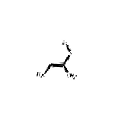 [CH2]C(=CC)SCC